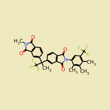 Cc1c(N2C(=O)c3ccc(C(C)(c4ccc5c(c4)C(=O)N(C)C5=O)C(F)(F)F)cc3C2=O)cc(C(F)(F)F)c(C)c1C